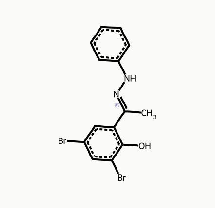 C/C(=N\Nc1ccccc1)c1cc(Br)cc(Br)c1O